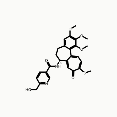 COc1cc2c(c(OC)c1OC)-c1ccc(SC)c(=O)cc1[C@@H](NC(=O)c1ccc(CO)nc1)CC2